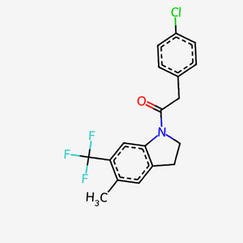 Cc1cc2c(cc1C(F)(F)F)N(C(=O)Cc1ccc(Cl)cc1)CC2